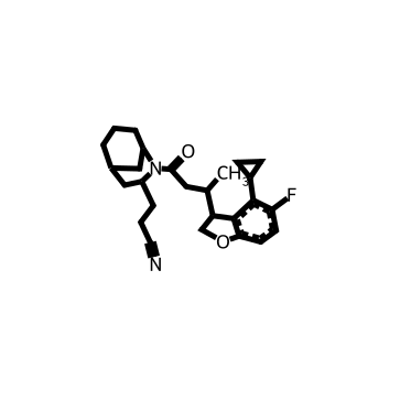 CC(CC(=O)N1C(CCC#N)CC2CCCC1C2)C1COc2ccc(F)c(C3CC3)c21